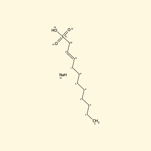 CCCCCCCCC=CCS(=O)(=O)O.[NaH]